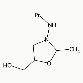 CC(C)NN1CC(CO)OC1C